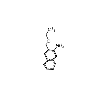 CCOCc1cc2ccccc2cc1N